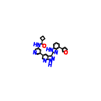 O=C(Nc1cncc(-c2cnc3[nH]nc(-c4nc5c(-c6ccoc6)cccc5[nH]4)c3c2)c1)C1CCC1